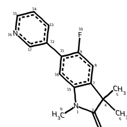 CN1C(=O)C(C)(C)c2cc(F)c(-c3cccnc3)cc21